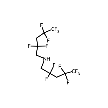 FC(F)(CNCC(F)(F)CC(F)(F)C(F)(F)F)CC(F)(F)C(F)(F)F